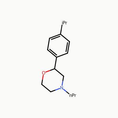 CCCN1CCOC(c2ccc(C(C)C)cc2)C1